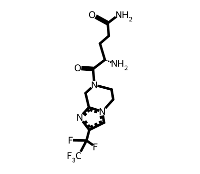 NC(=O)CC[C@H](N)C(=O)N1CCn2cc(C(F)(F)C(F)(F)F)nc2C1